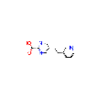 O=C(O)c1ncc(CCc2cccnc2)cn1